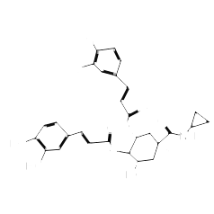 Cc1ccc(/C=C/C(=O)OC2[C@H](O)C[C@](O)(C(=O)NC3CC3)C[C@H]2OC(=O)/C=C/c2ccc(O)c(O)c2)cc1O